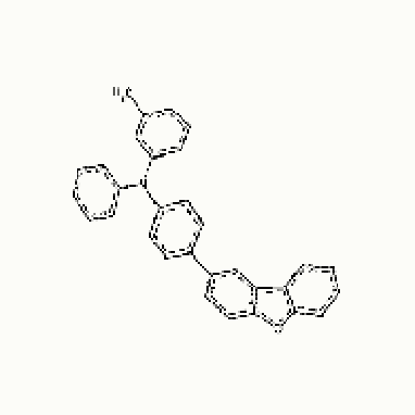 Cc1cccc(N(c2ccccc2)c2ccc(-c3ccc4oc5ccccc5c4c3)cc2)c1